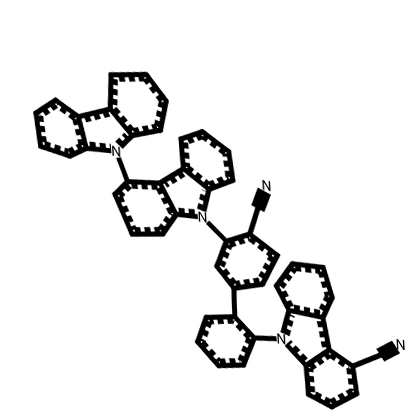 N#Cc1ccc(-c2ccccc2-n2c3ccccc3c3c(C#N)cccc32)cc1-n1c2ccccc2c2c(-n3c4ccccc4c4ccccc43)cccc21